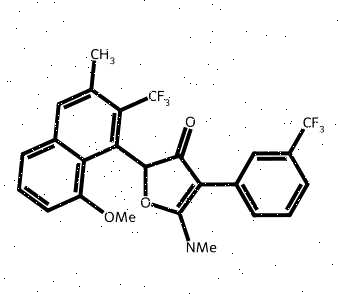 CNC1=C(c2cccc(C(F)(F)F)c2)C(=O)C(c2c(C(F)(F)F)c(C)cc3cccc(OC)c23)O1